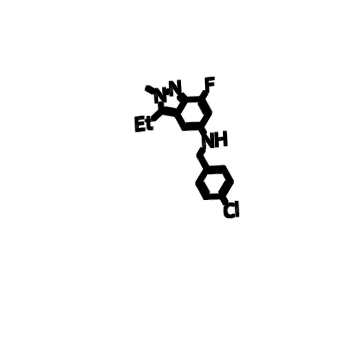 CCc1c2cc(NCc3ccc(Cl)cc3)cc(F)c2nn1C